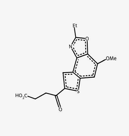 CCc1nc2c(o1)c(OC)cc1sc(C(=O)CCC(=O)O)cc12